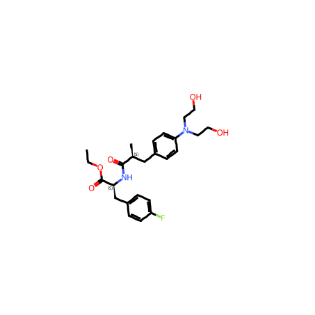 CCOC(=O)[C@H](Cc1ccc(F)cc1)NC(=O)[C@@H](C)Cc1ccc(N(CCO)CCO)cc1